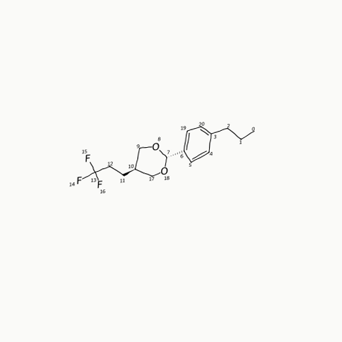 CCCc1ccc([C@H]2OC[C@H](CCC(F)(F)F)CO2)cc1